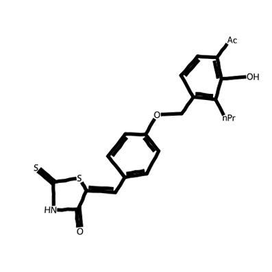 CCCc1c(COc2ccc(/C=C3\SC(=S)NC3=O)cc2)ccc(C(C)=O)c1O